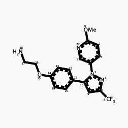 COc1ccc(-n2nc(C(F)(F)F)cc2-c2ccc(OCCN)cc2)cn1